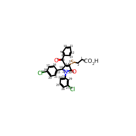 O=C(O)CCSC1=C(C(=O)c2ccccc2)C(c2ccc(Cl)cc2)N(c2cccc(Cl)c2)C1=O